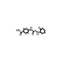 O=C(CNc1ccccc1F)Nc1ccc(C(=O)O)cc1